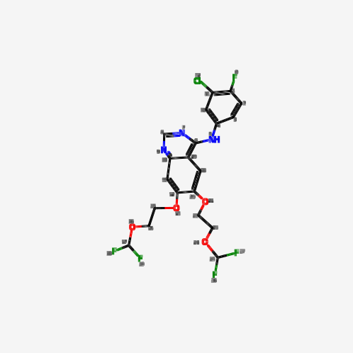 Fc1ccc(Nc2ncnc3cc(OCCOC(F)F)c(OCCOC(F)F)cc23)cc1Cl